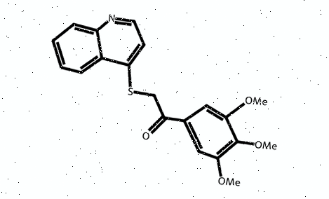 COc1cc(C(=O)CSc2ccnc3ccccc23)cc(OC)c1OC